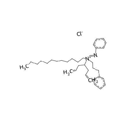 C=CCC(CC=C)[N+](C=Nc1ccccc1)(CCCCCCCCCCCC)CCCc1ccccc1.[Cl-]